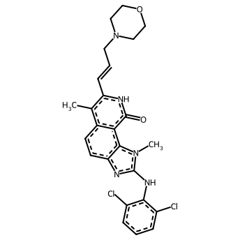 Cc1c(C=CCN2CCOCC2)[nH]c(=O)c2c1ccc1nc(Nc3c(Cl)cccc3Cl)n(C)c12